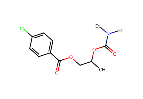 CCN(CC)C(=O)OC(C)COC(=O)c1ccc(Cl)cc1